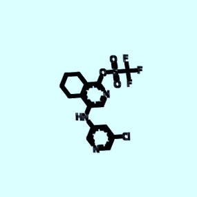 O=S(=O)(Oc1ncc(Nc2cncc(Cl)c2)c2c1CCCC2)C(F)(F)F